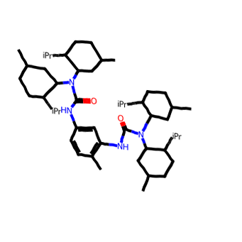 Cc1ccc(NC(=O)N(C2CC(C)CCC2C(C)C)C2CC(C)CCC2C(C)C)cc1NC(=O)N(C1CC(C)CCC1C(C)C)C1CC(C)CCC1C(C)C